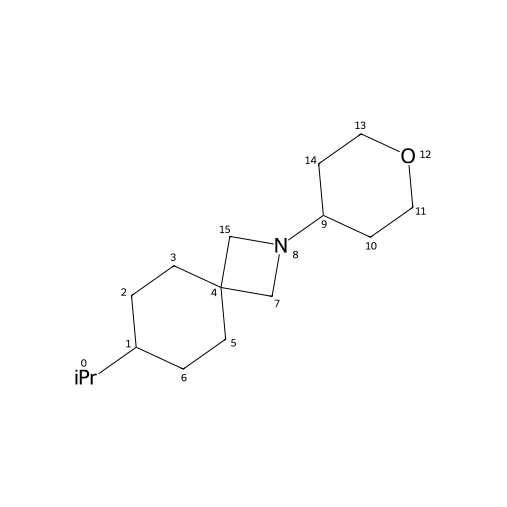 CC(C)C1CCC2(CC1)CN(C1CCOCC1)C2